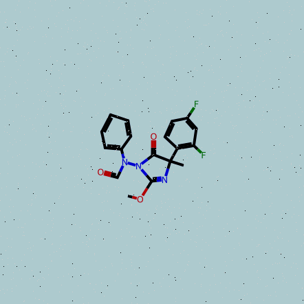 COC1=NC(C)(c2ccc(F)cc2F)C(=O)N1N(C=O)c1ccccc1